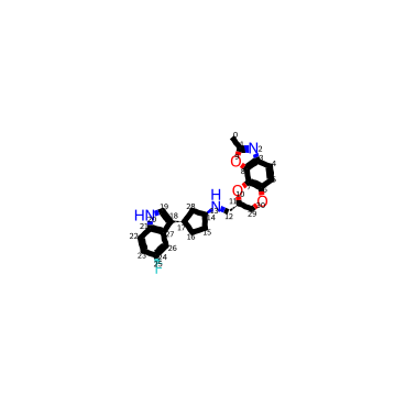 Cc1nc2ccc3c(c2o1)O[C@@H](CN[C@H]1CC[C@H](c2c[nH]c4ccc(F)cc24)C1)CO3